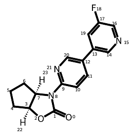 O=C1O[C@H]2CCC[C@H]2N1c1ccc(-c2cncc(F)c2)cn1